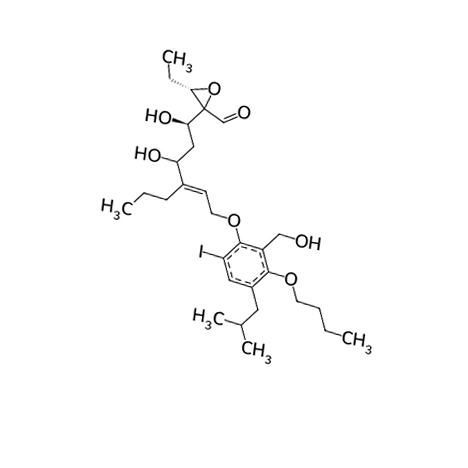 CCCCOc1c(CC(C)C)cc(I)c(OC/C=C(\CCC)C(O)C[C@@H](O)C2(C=O)O[C@H]2CC)c1CO